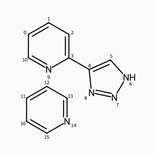 c1ccc(-c2c[nH]nn2)nc1.c1ccncc1